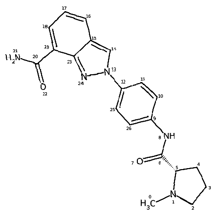 CN1CCC[C@H]1C(=O)Nc1ccc(-n2cc3cccc(C(N)=O)c3n2)cc1